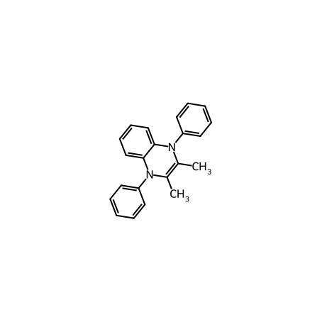 CC1=C(C)N(c2ccccc2)c2ccccc2N1c1ccccc1